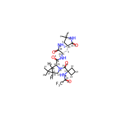 CC1(C)C[C@@H](C[C@H](NC(=O)[C@@H]2[C@@H]3[C@H](CN2C(=O)C2(NC(=O)C(F)(F)F)CCC2)C3(C)C)C(N)=O)C(=O)N1